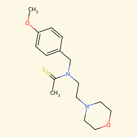 COc1ccc(CN(CCN2CCOCC2)C(C)=S)cc1